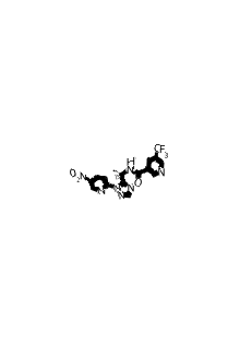 C[C@H](NC(=O)c1cncc(C(F)(F)F)c1)c1ncnn1-c1ccc([N+](=O)[O-])cn1